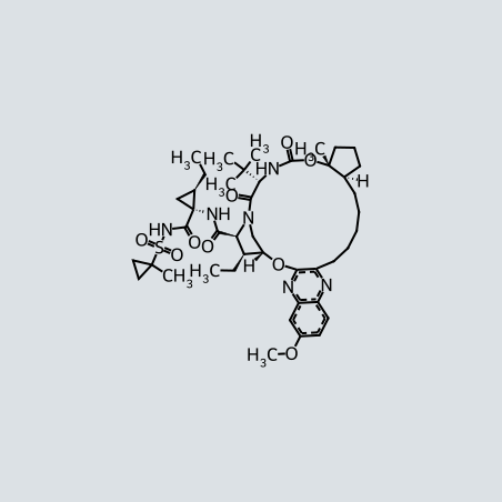 CC[C@@H]1[C@@H]2CN(C(=O)[C@H](C(C)(C)C)NC(=O)O[C@]3(C)CCC[C@H]3CCCCCc3nc4ccc(OC)cc4nc3O2)[C@@H]1C(=O)N[C@]1(C(=O)NS(=O)(=O)C2(C)CC2)C[C@H]1CC